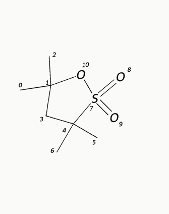 CC1(C)CC(C)(C)S(=O)(=O)O1